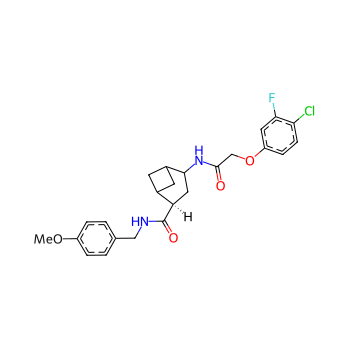 COc1ccc(CNC(=O)[C@@H]2CC(NC(=O)COc3ccc(Cl)c(F)c3)C3CC2C3)cc1